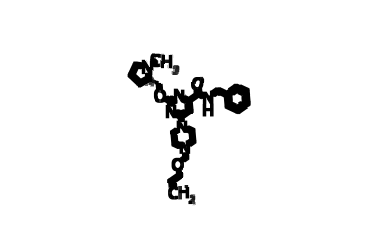 C=CCOCN1CCN(c2cc(C(=O)NCc3ccccc3)nc(OC[C@@H]3CCCN3C)n2)CC1